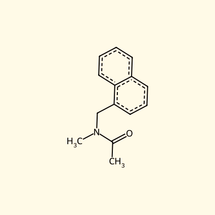 CC(=O)N(C)Cc1cccc2ccccc12